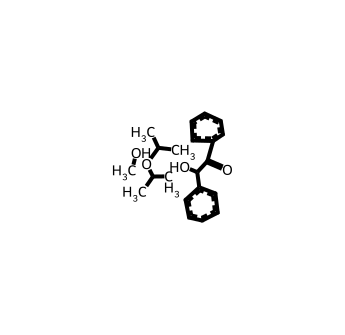 CC(C)OC(C)C.CO.O=C(c1ccccc1)C(O)c1ccccc1